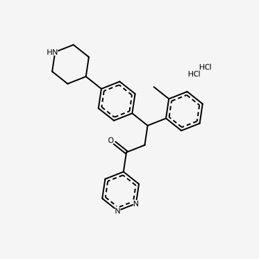 Cc1ccccc1C(CC(=O)c1ccnnc1)c1ccc(C2CCNCC2)cc1.Cl.Cl